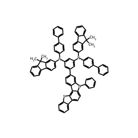 CC1(C)c2ccccc2-c2ccc(N(c3ccc(-c4ccccc4)cc3)c3cc(-c4ccc5c6c7sc8ccccc8c7ccc6n(-c6ccccc6)c5c4)cc(N(c4ccc(-c5ccccc5)cc4)c4ccc5c(c4)C(C)(C)c4ccccc4-5)c3)cc21